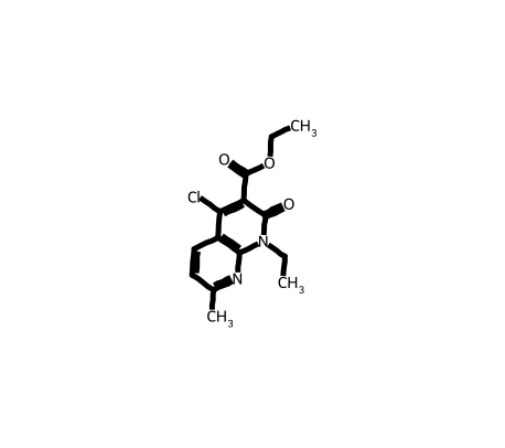 CCOC(=O)c1c(Cl)c2ccc(C)nc2n(CC)c1=O